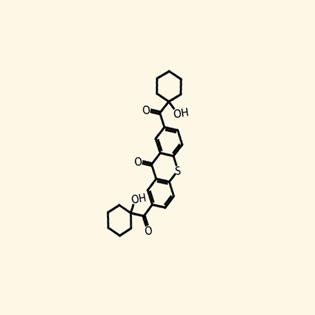 O=C(c1ccc2sc3ccc(C(=O)C4(O)CCCCC4)cc3c(=O)c2c1)C1(O)CCCCC1